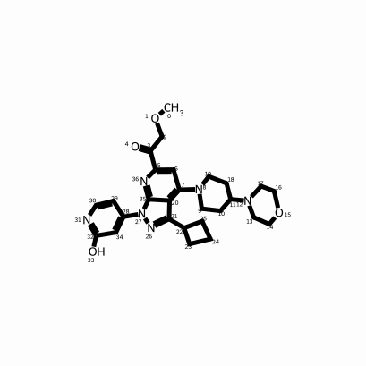 COCC(=O)c1cc(N2CCC(N3CCOCC3)CC2)c2c(C3CCC3)nn(-c3ccnc(O)c3)c2n1